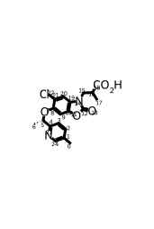 Cc1ccc([C@H](C)Oc2cc3oc(=O)n(CC(C)C(=O)O)c3cc2Cl)nc1